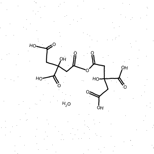 O.O=C(O)CC(O)(CC(=O)OC(=O)CC(O)(CC(=O)O)C(=O)O)C(=O)O